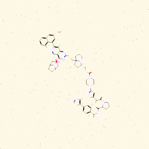 CCc1cccc2cc(OCOC)cc(-c3ncc4c(N5CC6CCC(C5)N6C(=O)OC(C)(C)C)nc(OCC56CCCN5[C@@H](COC(=O)N5CCN(c7cc(C(C(=O)N8CCCC8C(=O)NC(C)c8ccc(-c9scnc9C)cc8)C(C)C)on7)CC5)CC6)nc4c3F)c12